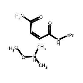 CCCNC(=O)/C=C\C(N)=O.C[SiH](C)O[SiH3]